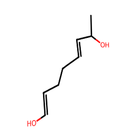 CC(O)C=CCCC=CO